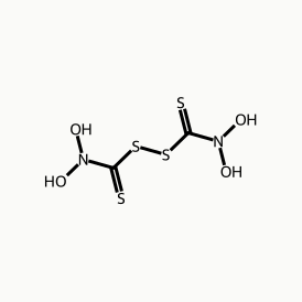 ON(O)C(=S)SSC(=S)N(O)O